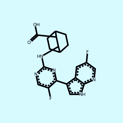 O=C(O)C1C2CCC(CC2)C1Nc1ncc(F)c(-c2c[nH]c3ncc(F)cc23)n1